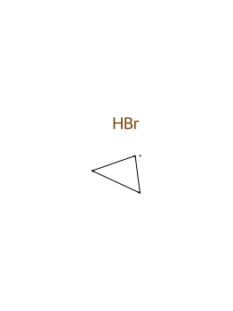 Br.[CH]1CC1